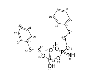 N=P(O)(OSSc1ccccc1)OP(=O)(O)OSSc1ccccc1